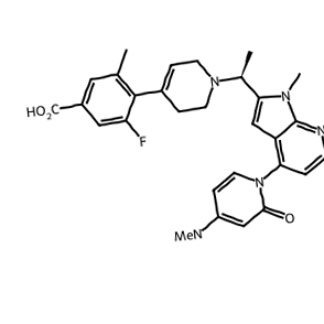 CNc1ccn(-c2ccnc3c2cc([C@H](C)N2CC=C(c4c(C)cc(C(=O)O)cc4F)CC2)n3C)c(=O)c1